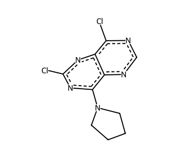 Clc1nc(N2CCCC2)c2ncnc(Cl)c2n1